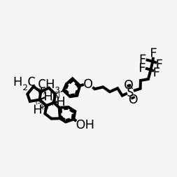 C=C1CC[C@H]2[C@@H]3CCc4cc(O)ccc4[C@H]3[C@@H](c3ccc(OCCCCCS(=O)(=O)CCCC(F)(F)C(F)(F)F)cc3)C[C@]12C